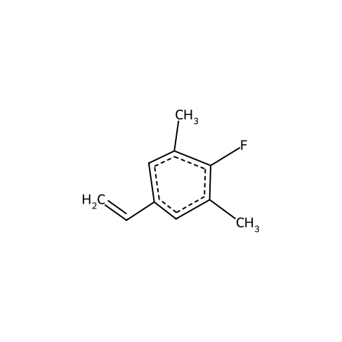 C=Cc1cc(C)c(F)c(C)c1